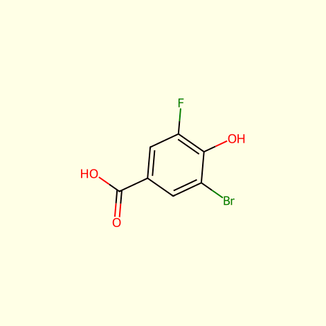 O=C(O)c1cc(F)c(O)c(Br)c1